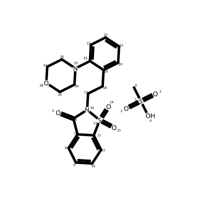 CS(=O)(=O)O.O=C1c2ccccc2S(=O)(=O)N1CCc1ccccc1N1CCOCC1